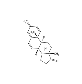 C=C1C=C[C@@]2(C)C(=C1)C=C[C@@H]1[C@@H]2CC[C@]2(C)C(=O)CC[C@@H]12